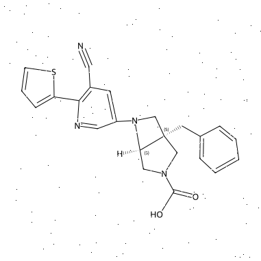 N#Cc1cc(N2C[C@@]3(Cc4ccccc4)CN(C(=O)O)C[C@@H]23)cnc1-c1cccs1